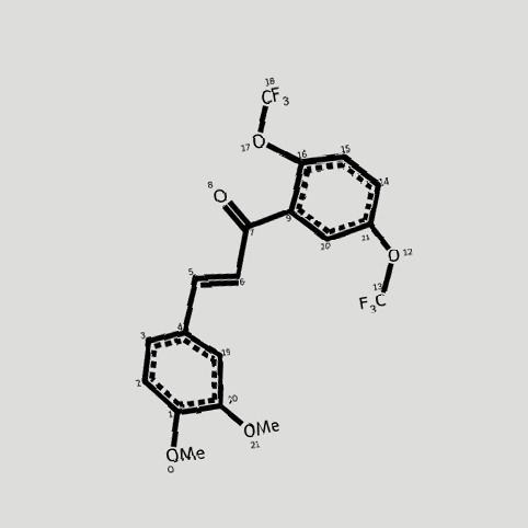 COc1ccc(C=CC(=O)c2cc(OC(F)(F)F)ccc2OC(F)(F)F)cc1OC